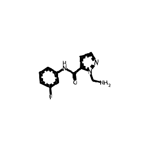 NCn1nccc1C(=O)Nc1cccc(F)c1